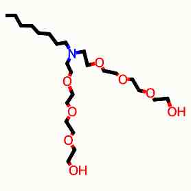 CCCCCCCCN(CCOCCOCCOCCO)CCOCCOCCOCCO